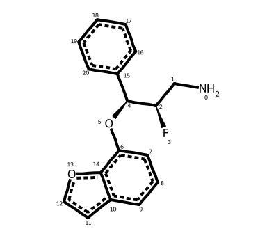 NC[C@@H](F)[C@@H](Oc1cccc2ccoc12)c1ccccc1